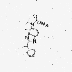 COC(=O)N1c2ccc3c(nc([C@H](C)c4ccccc4)n3C)c2CC[C@@H]1C